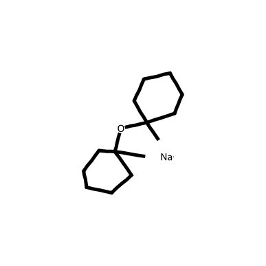 CC1(OC2(C)CCCCC2)CCCCC1.[Na]